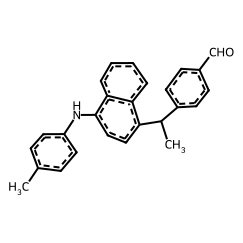 Cc1ccc(Nc2ccc(C(C)c3ccc(C=O)cc3)c3ccccc23)cc1